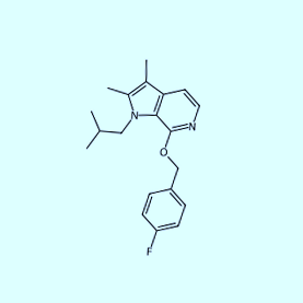 Cc1c(C)n(CC(C)C)c2c(OCc3ccc(F)cc3)nccc12